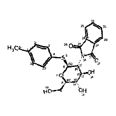 Cc1ccc(S[C@@H]2O[C@H](CO)[C@@H](O)[C@H](O)[C@H]2N2C(=O)c3ccccc3C2=O)cc1